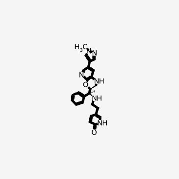 Cn1cc(-c2cnc3c(c2)NC[C@@H]([C@H](NCCc2ccc(=O)[nH]c2)c2ccccc2)O3)cn1